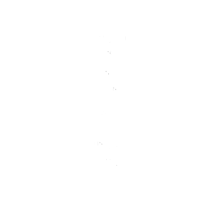 CC(C)(C)OC(=O)NC/C(=C\F)COc1ccc(N2CCN(C(=O)O)C(=O)C2)nc1